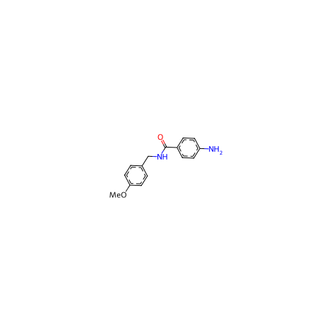 COc1ccc(CNC(=O)c2ccc(N)cc2)cc1